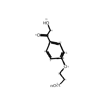 CCCCCCCCCCOc1ccc(C(=O)CO)cc1